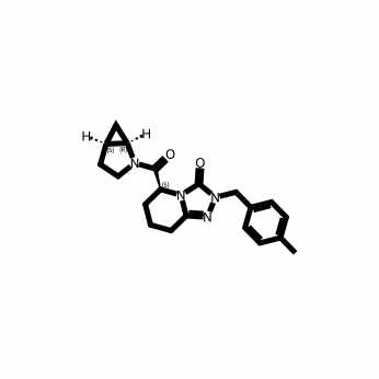 Cc1ccc(Cn2nc3n(c2=O)[C@H](C(=O)N2CC[C@H]4C[C@H]42)CCC3)cc1